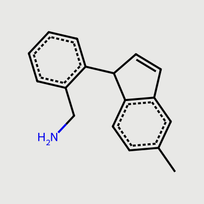 Cc1ccc2c(c1)C=CC2c1ccccc1CN